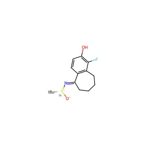 CC(C)(C)[S@@+]([O-])N=C1CCCCc2c1ccc(O)c2F